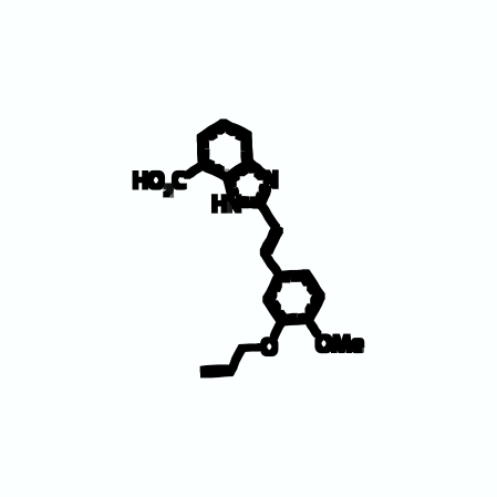 C=CCOc1cc(C=Cc2nc3cccc(C(=O)O)c3[nH]2)ccc1OC